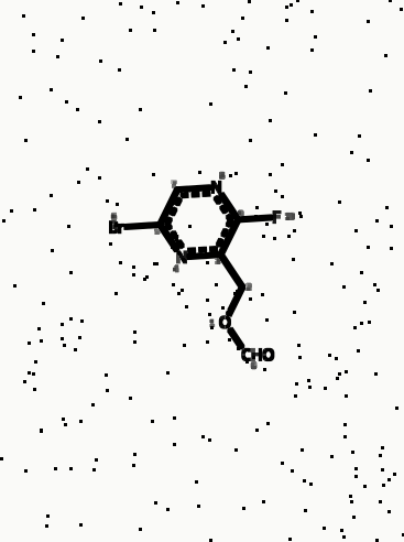 O=COCc1nc(Br)cnc1F